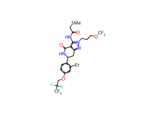 CCc1cc(OCC(F)(F)C(F)(F)F)ccc1C1Cc2nn(CCCOC(F)(F)F)c(NC(=O)CSC)c2C(=O)N1